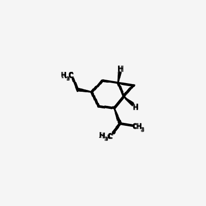 CC[C@H]1C[C@@H]2C[C@@H]2[C@@H](C(C)C)C1